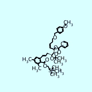 COc1ccc(COCC/C=C\C(OC(=O)c2ccccc2)[C@H]2OC(C)(C)O[C@H]2C/C=C/c2cc(C)cc(C)c2C(=O)OCC[Si](C)(C)C)cc1